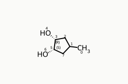 CC1C[C@@H](O)[C@@H](O)C1